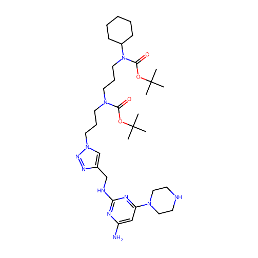 CC(C)(C)OC(=O)N(CCCN(C(=O)OC(C)(C)C)C1CCCCC1)CCCn1cc(CNc2nc(N)cc(N3CCNCC3)n2)nn1